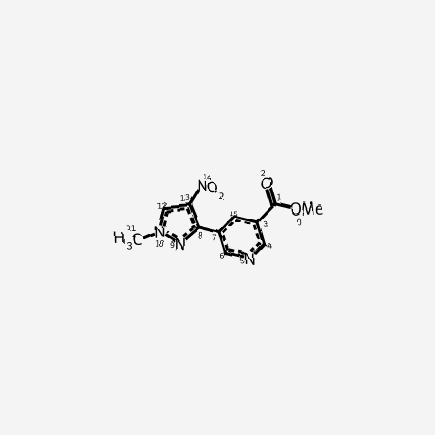 COC(=O)c1cncc(-c2nn(C)cc2[N+](=O)[O-])c1